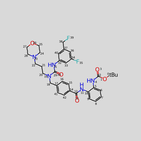 CC(C)(C)OC(=O)Nc1ccccc1NC(=O)c1ccc(CN(CCCN2CCOCC2)C(=O)Nc2cc(F)cc(CF)c2)cc1